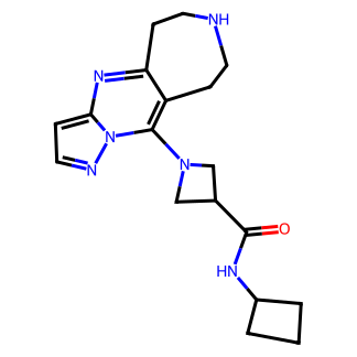 O=C(NC1CCC1)C1CN(c2c3c(nc4ccnn24)CCNCC3)C1